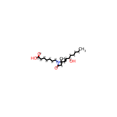 CCCCC[C@H](O)/C=C/C1(C)CC(=O)N1CCCCCCC(=O)O